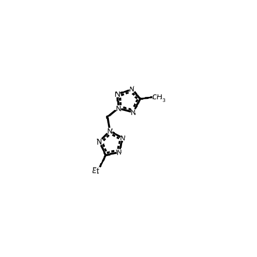 CCc1nnn(Cn2nnc(C)n2)n1